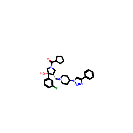 O=C(C1CCCC1)N1C[C@H](CN2CCC(n3cc(-c4ccccc4)nn3)CC2)[C@@](O)(c2cccc(F)c2)C1